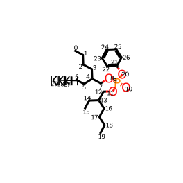 CCCCC(CC)COP(=O)(OCC(CC)CCCC)Oc1ccccc1.[KH].[KH].[KH]